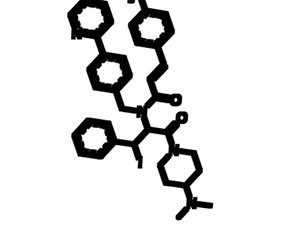 CN(C)C1CCN(C(=O)C(C(I)c2ccccc2)N(Cc2ccc(-c3ccccn3)cc2)C(=O)C=Cc2ccc(C(F)(F)F)cc2)CC1